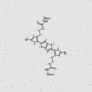 CCCCCCCCCNC(=O)OCCc1cc(Br)sc1-c1nc2sc(-c3sc(Br)cc3CCOC(=O)NCCCCCCCCC)nc2s1